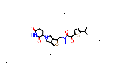 CC(C)c1ccc(C(=O)C(=O)NCc2scc3c2CN(C2CCC(=O)NC2=O)C3)s1